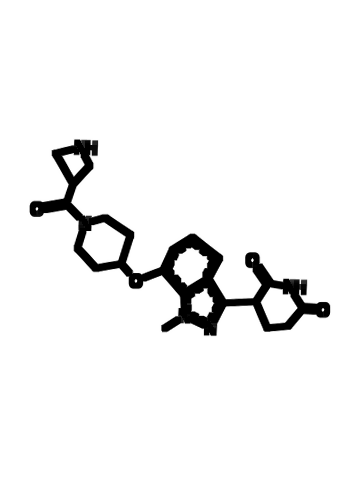 Cn1nc(C2CCC(=O)NC2=O)c2cccc(OC3CCN(C(=O)C4CNC4)CC3)c21